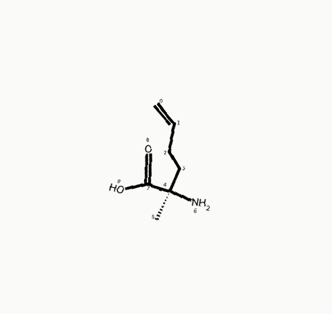 C=CCC[C@@](C)(N)C(=O)O